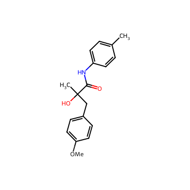 COc1ccc(CC(C)(O)C(=O)Nc2ccc(C)cc2)cc1